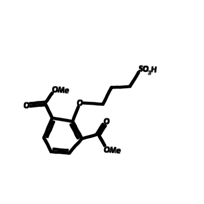 COC(=O)c1cccc(C(=O)OC)c1OCCCS(=O)(=O)O